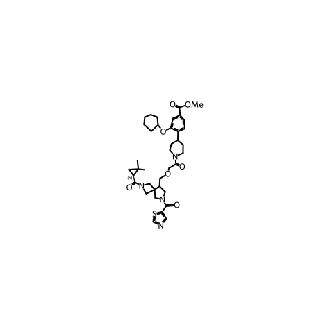 COC(=O)c1ccc(C2CCN(C(=O)COCC3CN(C(=O)c4cncs4)CC34CN(C(=O)[C@H]3CC3(C)C)C4)CC2)c(OC2CCCCC2)c1